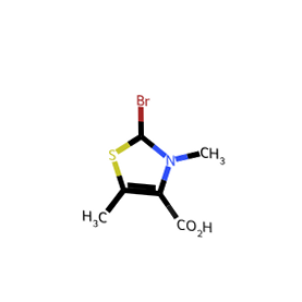 CC1=C(C(=O)O)N(C)C(Br)S1